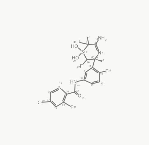 CC1(C)C(N)=N[C@](C)(c2cc(NC(=O)c3ncc(Cl)cc3F)ccc2F)C(F)S1(O)O